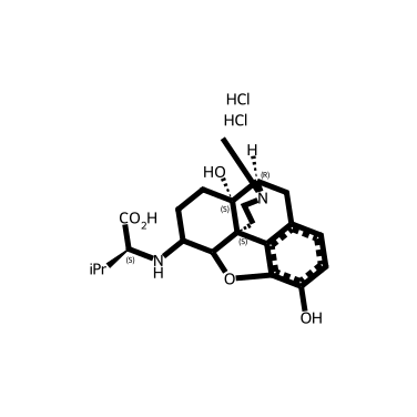 CC(C)[C@H](NC1CC[C@@]2(O)[C@H]3Cc4ccc(O)c5c4[C@@]2(CCN3C)C1O5)C(=O)O.Cl.Cl